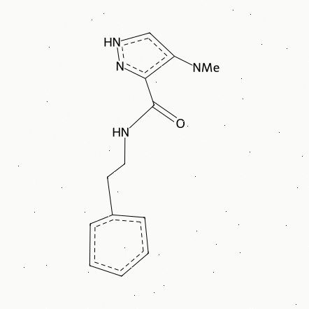 CNc1c[nH]nc1C(=O)NCCc1ccccc1